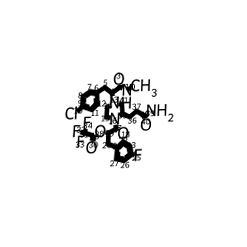 CNC(=O)C(Cc1ccc(Cl)cc1)N1CCN(C(=O)C(Cc2ccc(F)cc2)OC(=O)C(F)(F)F)C(CCC(N)=O)C1